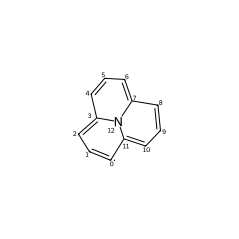 [C]1=CC=C2C=CC=C3C=CC=C1N23